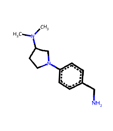 CN(C)C1CCN(c2ccc(CN)cc2)C1